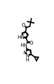 CC(C)(C)CC(=O)c1c[nH]c(C(=O)Nc2cc(C3CC3)[nH]n2)c1